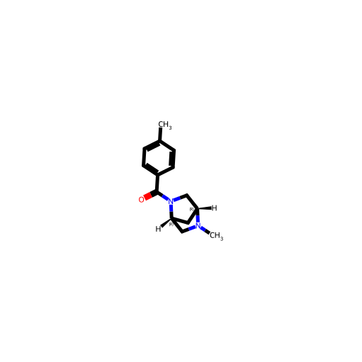 Cc1ccc(C(=O)N2C[C@H]3C[C@@H]2CN3C)cc1